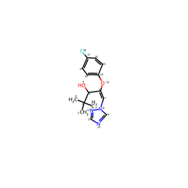 CC(C)(C)C(O)C(=Cn1cncn1)Oc1ccc(F)cc1